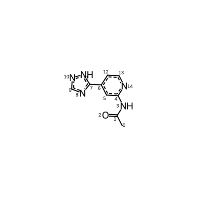 CC(=O)Nc1cc(-c2ncn[nH]2)ccn1